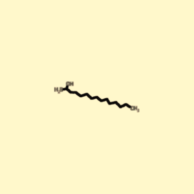 BC(O)CCCCCCCCCCCCC